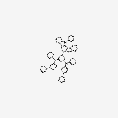 c1ccc(-c2ccc(N(c3ccccc3)c3cc(-c4cc5c6ccccc6n(-c6ccccc6)c5c5c4sc4ccccc45)cc(N(c4ccccc4)c4cccc(-c5ccccc5)c4)c3)cc2)cc1